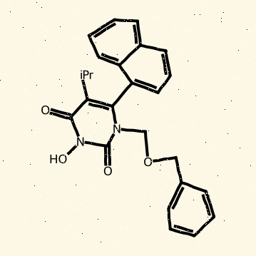 CC(C)c1c(-c2cccc3ccccc23)n(COCc2ccccc2)c(=O)n(O)c1=O